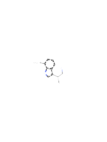 COc1cccc2c([C@H](C)[C@H](N)C(=O)O)c[nH]c12